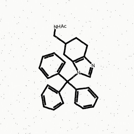 CC(=O)NCC1CCc2ncn(C(c3ccccc3)(c3ccccc3)c3ccccc3)c2C1